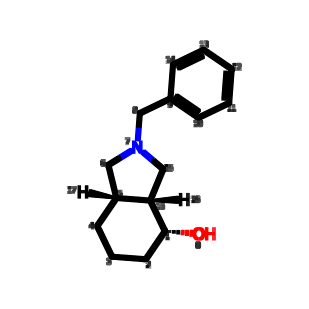 O[C@@H]1CCC[C@@H]2CN(Cc3ccccc3)C[C@@H]21